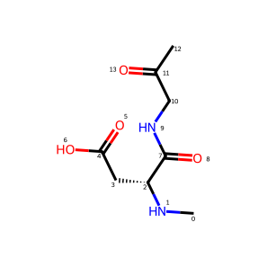 CN[C@H](CC(=O)O)C(=O)NCC(C)=O